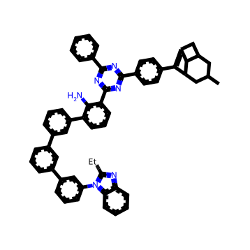 CCc1nc2ccccc2n1-c1cccc(-c2cccc(-c3cccc(-c4cccc(-c5nc(-c6ccccc6)nc(-c6ccc(C7=C8CC9CC(C)CC7C89)cc6)n5)c4N)c3)c2)c1